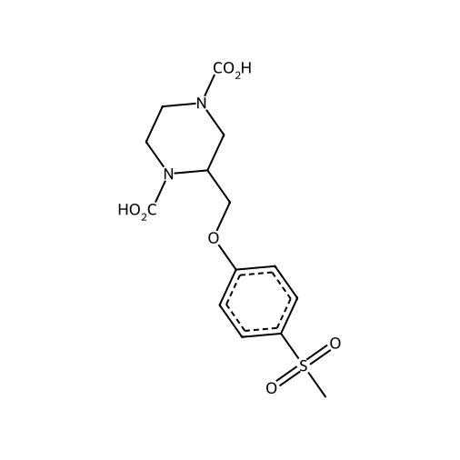 CS(=O)(=O)c1ccc(OCC2CN(C(=O)O)CCN2C(=O)O)cc1